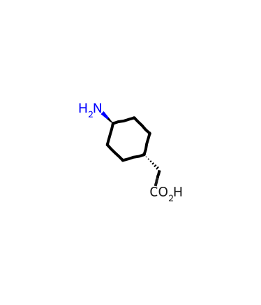 N[C@H]1CC[C@H](CC(=O)O)CC1